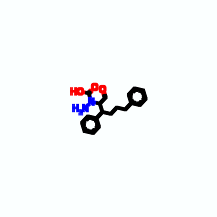 NN(C(=O)O)C(C=O)C(CCCc1ccccc1)c1ccccc1